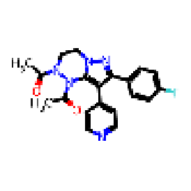 CC(=O)N1CCn2nc(-c3ccc(F)cc3)c(-c3ccncc3)c2N1C(C)=O